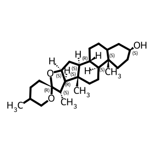 CC1CC[C@@]2(OC1)O[C@H]1C[C@H]3[C@@H]4CCC5C[C@@H](O)CC[C@]5(C)[C@H]4CC[C@]3(C)[C@H]1[C@@H]2C